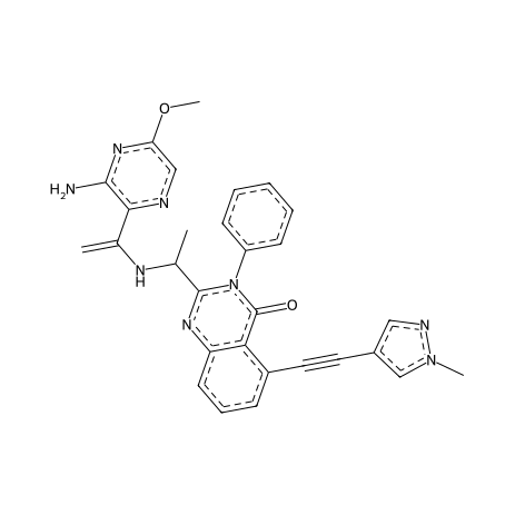 C=C(NC(C)c1nc2cccc(C#Cc3cnn(C)c3)c2c(=O)n1-c1ccccc1)c1ncc(OC)nc1N